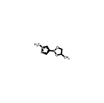 CC1COB(c2cnn(C)c2)O1